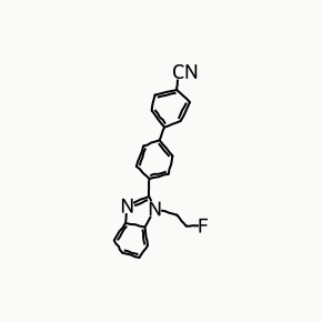 N#Cc1ccc(-c2ccc(-c3nc4ccccc4n3CCF)cc2)cc1